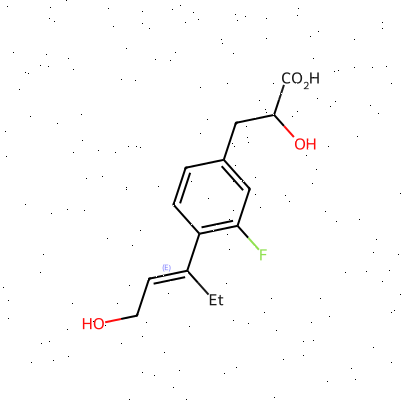 CC/C(=C\CO)c1ccc(CC(O)C(=O)O)cc1F